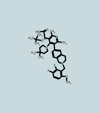 COc1ccc(F)c(F)c1CN1CCc2cc(-c3c(C)nc(C)c([C@H](OC(C)(C)C)C(=O)O)c3N3CCC(C)(C)CC3)ccc2C1